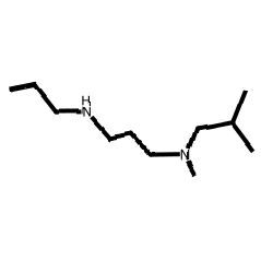 CCCNCCCN(C)CC(C)C